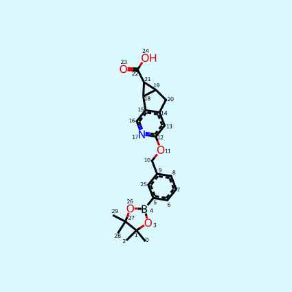 CC1(C)OB(c2cccc(COc3cc4c(cn3)C3C(C4)C3C(=O)O)c2)OC1(C)C